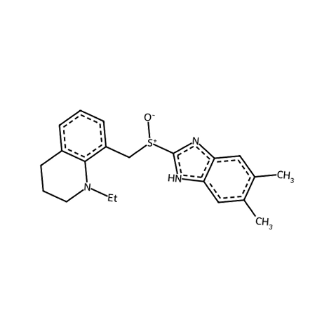 CCN1CCCc2cccc(C[S+]([O-])c3nc4cc(C)c(C)cc4[nH]3)c21